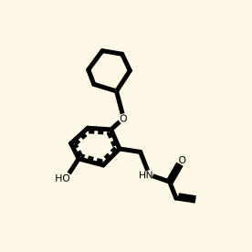 C=CC(=O)NCc1cc(O)ccc1OC1CCCCC1